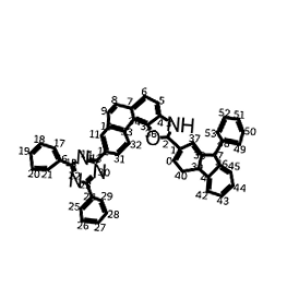 C1=C(C2Nc3ccc4ccc5cc(-c6nc(-c7ccccc7)nc(-c7ccccc7)n6)ccc5c4c3O2)C=C2C(C1)c1ccccc1C2c1ccccc1